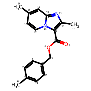 Cc1ccc(COC(=O)c2c(C)nc3cc(C)ccn23)cc1